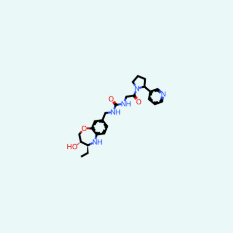 CC[C@@H]1Nc2ccc(CNC(=O)NCC(=O)N3CCCC3c3cccnc3)cc2OC[C@H]1O